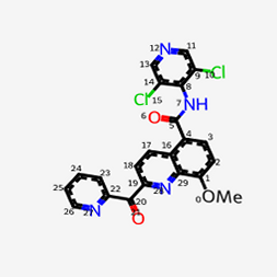 COc1ccc(C(=O)Nc2c(Cl)cncc2Cl)c2ccc(C(=O)c3ccccn3)nc12